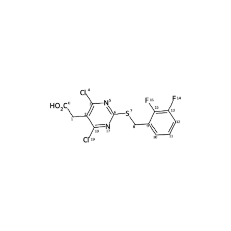 O=C(O)Cc1c(Cl)nc(SCc2cccc(F)c2F)nc1Cl